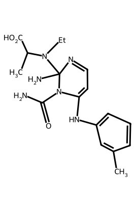 CCN(C(C)C(=O)O)C1(N)N=CC=C(Nc2cccc(C)c2)N1C(N)=O